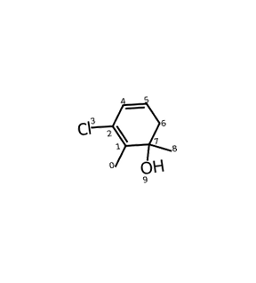 CC1=C(Cl)C=CCC1(C)O